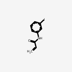 C=CC(=O)Nc1cccc(I)c1